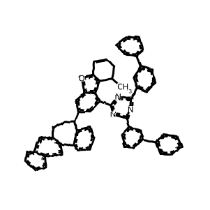 CC1CC=Cc2oc3cc(C4CCc5cc6ccccc6cc5-c5ccccc54)cc(-c4nc(-c5cccc(-c6ccccc6)c5)nc(-c5cccc(-c6ccccc6)c5)n4)c3c21